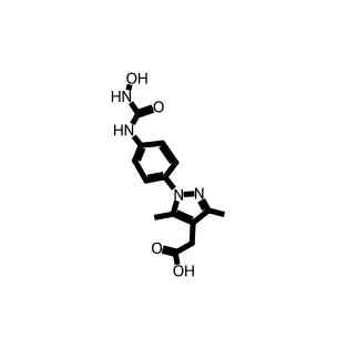 Cc1nn(-c2ccc(NC(=O)NO)cc2)c(C)c1CC(=O)O